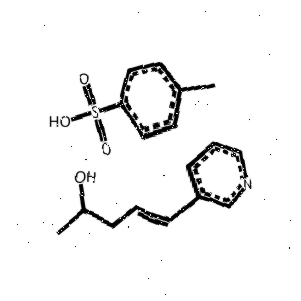 CC(O)CC=Cc1cccnc1.Cc1ccc(S(=O)(=O)O)cc1